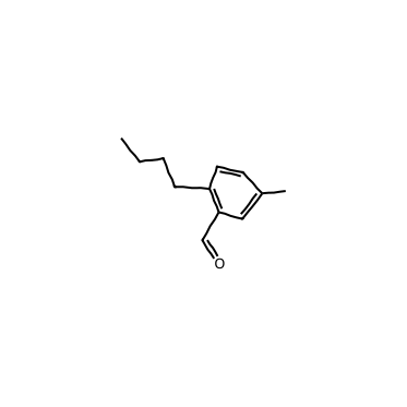 CCCCc1ccc(C)cc1C=O